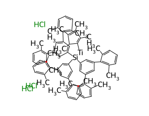 CC1=C(C)C(C)[C]([Ti][Si](c2cc(-c3c(C)cccc3C)cc(-c3c(C)cccc3C)c2)(c2cc(-c3c(C)cccc3C)cc(-c3c(C)cccc3C)c2)c2cc(-c3c(C)cccc3C)cc(-c3c(C)cccc3C)c2)=C1C.Cl.Cl.Cl